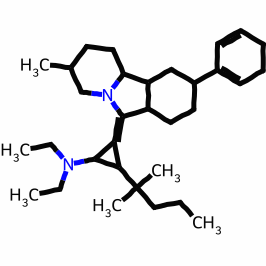 CCCC(C)(C)C1/C(=C2\C3CCC(C4=CCCC=C4)CC3C3CCC(C)CN23)C1N(CC)CC